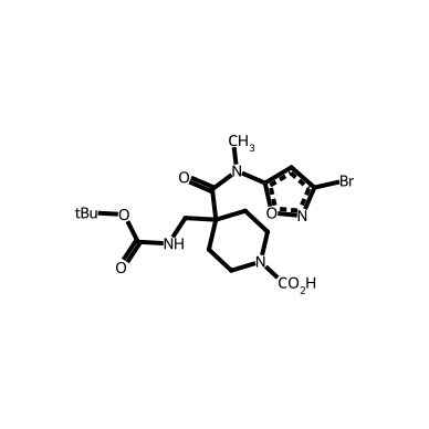 CN(C(=O)C1(CNC(=O)OC(C)(C)C)CCN(C(=O)O)CC1)c1cc(Br)no1